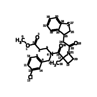 COC(=O)CCN(Cc1cccc(Cl)c1)C(=O)C1(C)CCN1C(=O)CC1CSc2ccccc21